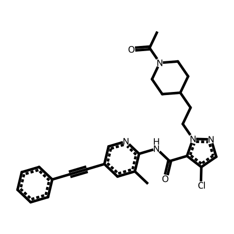 CC(=O)N1CCC(CCn2ncc(Cl)c2C(=O)Nc2ncc(C#Cc3ccccc3)cc2C)CC1